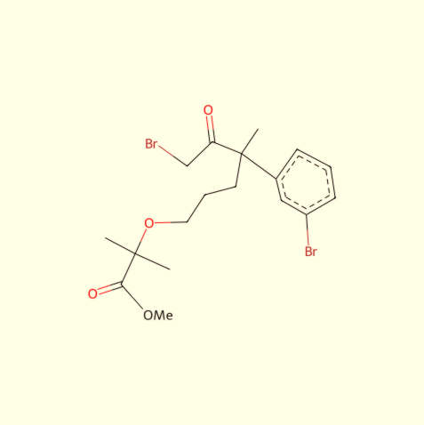 COC(=O)C(C)(C)OCCCC(C)(C(=O)CBr)c1cccc(Br)c1